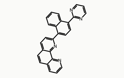 c1cnc(-c2ccc(-c3ccc4ccc5cccnc5c4n3)c3ccccc23)nc1